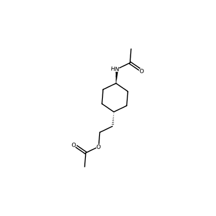 CC(=O)N[C@H]1CC[C@H](CCOC(C)=O)CC1